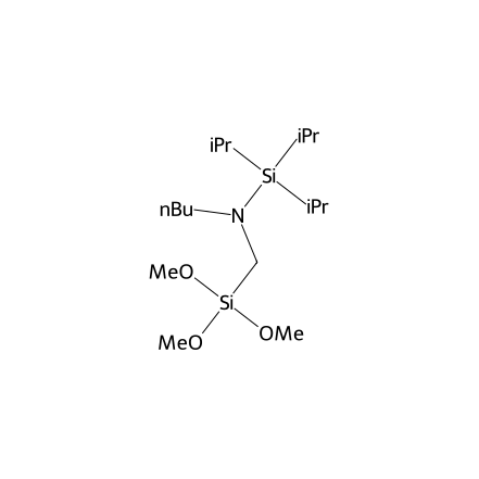 CCCCN(C[Si](OC)(OC)OC)[Si](C(C)C)(C(C)C)C(C)C